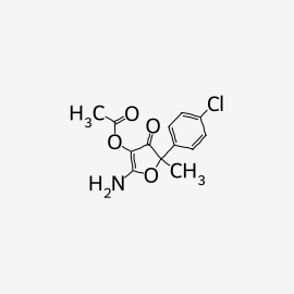 CC(=O)OC1=C(N)OC(C)(c2ccc(Cl)cc2)C1=O